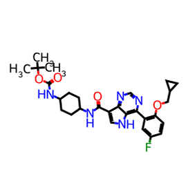 CC(C)(C)OC(=O)NC1CCC(NC(=O)c2c[nH]c3c(-c4cc(F)ccc4OCC4CC4)ncnc23)CC1